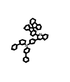 C1=CC2=C(CC1)c1ccccc1C21c2ccccc2-c2ccc(-c3nc4ccccc4cc3-c3ccc(N(C4=CC(c5ccccc5)=CCC4)c4ccc(-c5ccccc5)cc4)cc3)cc21